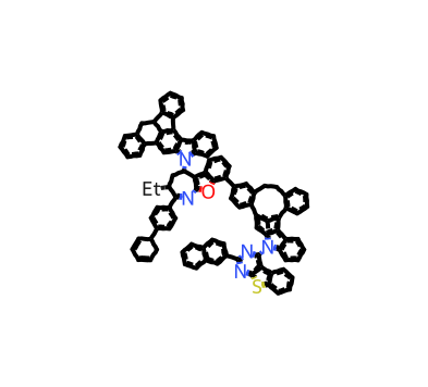 CCC1CC(n2c3ccccc3c3c4c5c(cc32)-c2ccccc2CC5c2ccccc2-4)c2c(oc3c(-c4ccc5c(c4)CCc4ccccc4-c4c(C)c-5cc5c4c4ccccc4n5-c4nc(-c5ccc6ccccc6c5)nc5sc6ccccc6c45)cccc23)N=C1c1ccc(C2C=CC=CC2)cc1